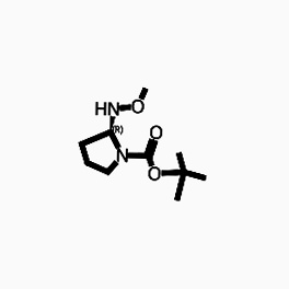 CON[C@@H]1CCCN1C(=O)OC(C)(C)C